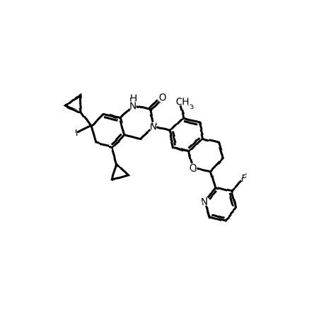 Cc1cc2c(cc1N1CC3=C(C4CC4)CC(I)(C4CC4)C=C3NC1=O)OC(c1ncccc1F)CC2